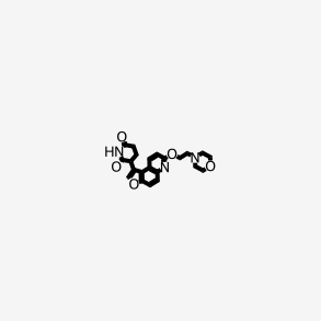 O=C1CCC(c2coc3ccc4nc(OCCN5CCOCC5)ccc4c23)C(=O)N1